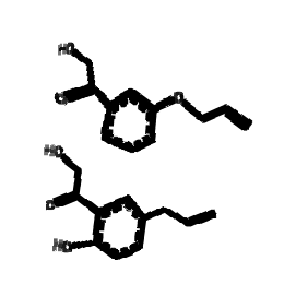 C=CCOc1cccc(C(=O)CO)c1.C=CCc1ccc(O)c(C(=O)CO)c1